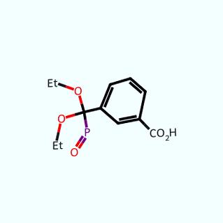 CCOC(OCC)(P=O)c1cccc(C(=O)O)c1